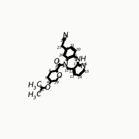 CC(C)OC1CCC(C(=O)N2Cc3cccnc3Nc3ccc(CC#N)cc32)OC1